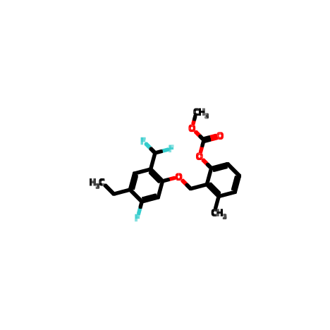 CCc1cc(C(F)F)c(OCc2c(C)cccc2OC(=O)OC)cc1F